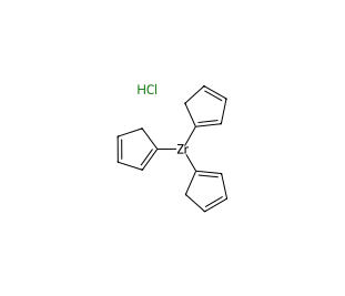 C1=CC[C]([Zr]([C]2=CC=CC2)[C]2=CC=CC2)=C1.Cl